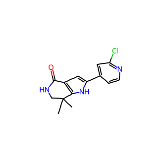 CC1(C)CNC(=O)c2cc(-c3ccnc(Cl)c3)[nH]c21